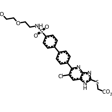 O=C(O)CSc1nc2nc(-c3ccc(-c4ccc(S(=O)(=O)NCCOCCO)cc4)cc3)c(Cl)cc2[nH]1